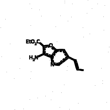 CC=Cc1cnc2c(N)c(C(=O)OCC)oc2c1